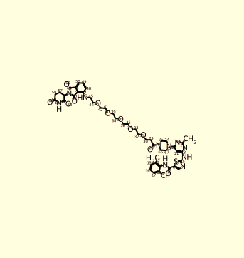 Cc1nc(Nc2ncc(C(=O)Nc3c(C)cccc3Cl)s2)cc(N2CCN(C(=O)CCOCCOCCOCCOCCOCCNc3cccc4c3C(=O)N(C3CCC(=O)NC3=O)C4=O)CC2)n1